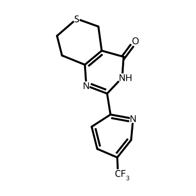 O=c1[nH]c(-c2ccc(C(F)(F)F)cn2)nc2c1CSCC2